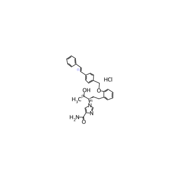 C[C@H](O)[C@@H](CCc1ccccc1OCc1ccc(/C=C/c2ccccc2)cc1)n1cnc(C(N)=O)c1.Cl